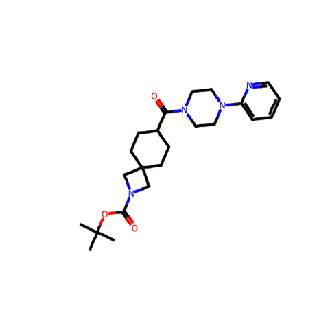 CC(C)(C)OC(=O)N1CC2(CCC(C(=O)N3CCN(c4ccccn4)CC3)CC2)C1